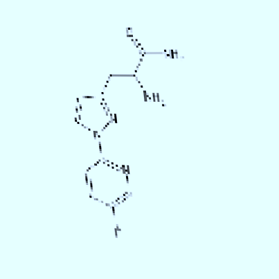 NC(=O)C(N)Cc1ccn(-c2ccc(F)cn2)n1